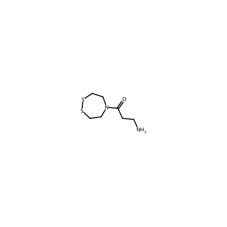 NCCC(=O)N1CCSSCC1